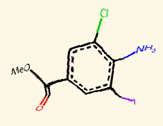 COC(=O)c1cc(Cl)c(N)c(I)c1